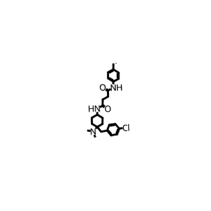 [CH2]c1ccc(NC(=O)CCC(=O)NC2CCC(Cc3ccc(Cl)cc3)(N(C)C)CC2)cc1